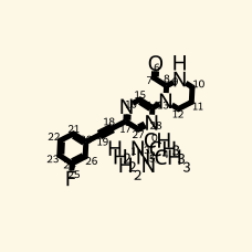 CN.CN.CN.O=CC1NCCCN1c1cnc(C#Cc2cccc(F)c2)cn1